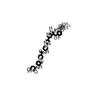 CCN(C)S(=O)(=O)Nc1ccc(F)c(C(=O)c2c[nH]c3ncc(-c4cnc(N5CCC(NC(=O)C6CCN(c7ccc(NC8CCC(=O)NC8=O)cc7F)CC6)CC5)nc4)cc23)c1F